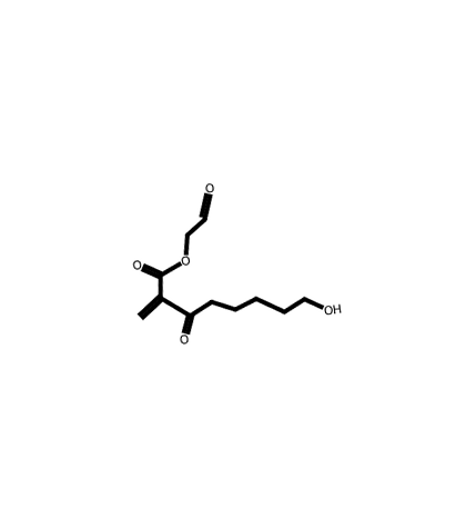 C=C(C(=O)CCCCCO)C(=O)OCC=O